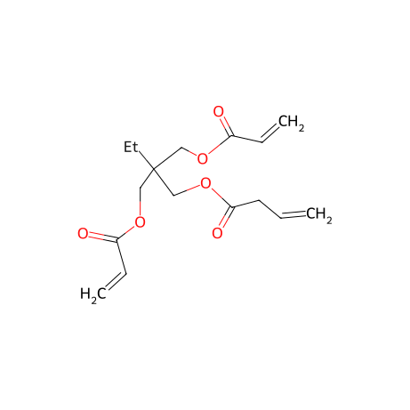 C=CCC(=O)OCC(CC)(COC(=O)C=C)COC(=O)C=C